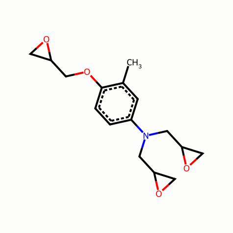 Cc1cc(N(CC2CO2)CC2CO2)ccc1OCC1CO1